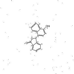 O=C1OC(c2ccc(O)c3ccccc23)c2ccccc21